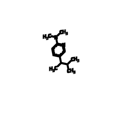 CC(C)C(C)c1ccc(N(C)C)nc1